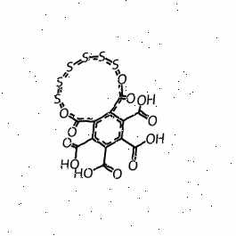 O=C(O)c1c(C(=O)O)c(C(=O)O)c2c(=O)ossssssoc(=O)c2c1C(=O)O